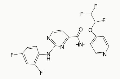 O=C(Nc1cnccc1OC(F)C(F)F)c1ccnc(Nc2ccc(F)cc2F)n1